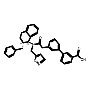 O=C(O)c1cccc(-c2cccc(CC(=O)N(Cc3ccno3)[C@@H]3c4ccccc4CC[C@H]3Cc3ccccc3)c2)c1